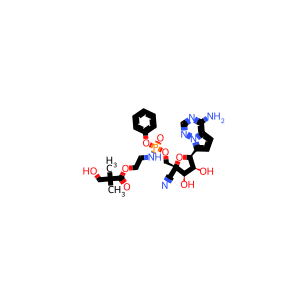 CC(C)(CO)C(=O)OCCNP(=O)(OC[C@@]1(C#N)O[C@@H](c2ccc3c(N)ncnn23)[C@H](O)[C@@H]1O)Oc1ccccc1